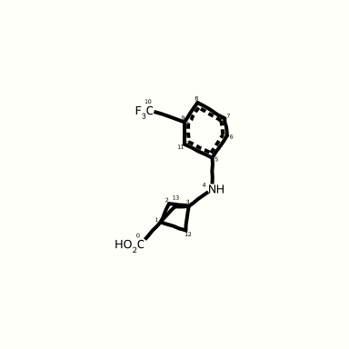 O=C(O)C12CC(Nc3cccc(C(F)(F)F)c3)(C1)C2